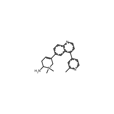 Cc1cc(-c2ccnc3ccc(C4=CCC(N)[N+](C)(C)C4)cc23)ccn1